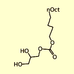 CCCCCCCCCCCCOC(=O)OCC(O)CO